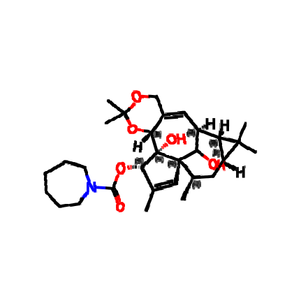 CC1=C[C@]23C(O)[C@@H](C=C4COC(C)(C)O[C@H]4[C@]2(O)[C@H]1OC(=O)N1CCCCCC1)[C@H]1[C@@H](C[C@H]3C)C1(C)C